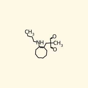 CCCCN/C1=C(\CC(C)(C=O)C=O)CCCCCC1